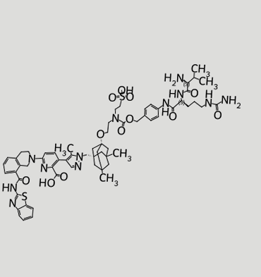 Cc1c(-c2ccc(N3CCc4cccc(C(=O)Nc5nc6ccccc6s5)c4C3)nc2C(=O)O)cnn1C[C@]12CC3(C)CC(C)(C1)C[C@](OCCN(CCS(=O)(=O)O)C(=O)OCc1ccc(NC(=O)[C@H](CCCNC(N)=O)NC(=O)[C@@H](N)C(C)C)cc1)(C3)C2